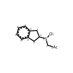 CC(=O)C[S+]([O-])C1Cc2ccccc2C1